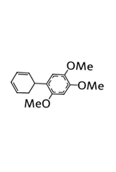 COc1cc(OC)c(C2C=CC=CC2)cc1OC